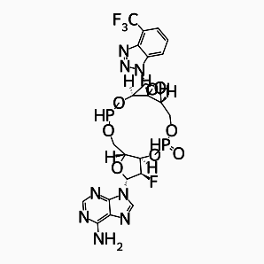 Nc1ncnc2c1ncn2[C@@H]1O[C@@H]2COPO[C@@H]3[C@H](O)[C@@H](CO[PH](=O)O[C@H]2[C@H]1F)O[C@H]3n1nnc2c(C(F)(F)F)cccc21